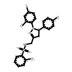 O=S(=O)(NCC1=NN(c2ccc(Cl)cc2Cl)C(c2ccc(Cl)cc2)C1)c1ccccc1C(F)(F)F